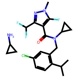 CC(C)c1ccc(Cl)cc1CN(C(=O)c1c(C(F)F)nn(C)c1F)C1CC1.NC1CC1